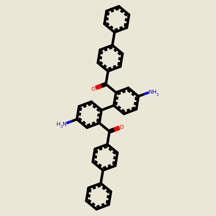 Nc1ccc(-c2ccc(N)cc2C(=O)c2ccc(-c3ccccc3)cc2)c(C(=O)c2ccc(-c3ccccc3)cc2)c1